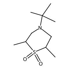 CC1CN(C(C)(C)C)CC(C)S1(=O)=O